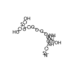 Cc1ncsc1-c1ccc(CNC(=O)C2CC(O)CN2C(=O)[C@@H](NC(=O)COCCOCCOCCOc2ccc(C(=O)c3c(-c4ccc(O)cc4)sc4cc(O)ccc34)cc2)C(C)(C)C)cc1